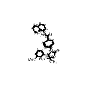 COc1cccc([C@@H]2N(c3ccc(C(=O)Nc4cccc5cccnc45)cc3)C(=O)OC2(C)C)c1